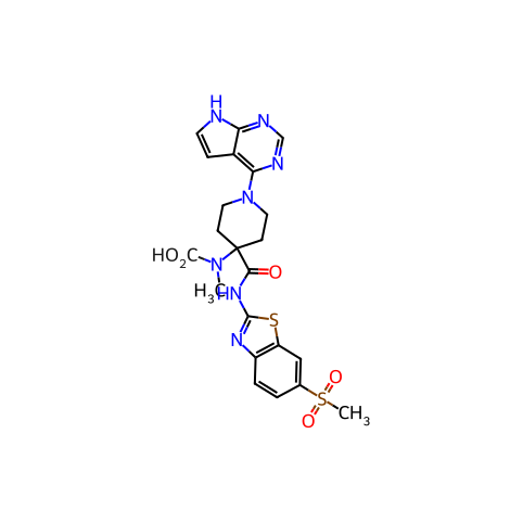 CN(C(=O)O)C1(C(=O)Nc2nc3ccc(S(C)(=O)=O)cc3s2)CCN(c2ncnc3[nH]ccc23)CC1